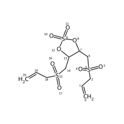 C=CCS(=O)(=O)CC1OS(=O)(=O)OC1CS(=O)(=O)CC=C